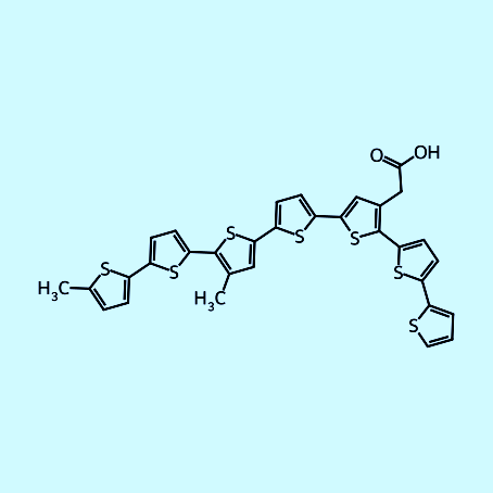 Cc1ccc(-c2ccc(-c3sc(-c4ccc(-c5cc(CC(=O)O)c(-c6ccc(-c7cccs7)s6)s5)s4)cc3C)s2)s1